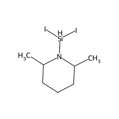 CC1CCCC(C)N1[SiH](I)I